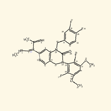 CN/C=C(\C(C)=N)c1cc2c(cn1)CN(c1c(F)c(OC)cc(OC)c1F)C(=O)N2Cc1ccc(F)c(F)c1